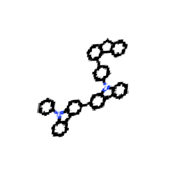 c1ccc(-n2c3ccccc3c3cc(-c4ccc5c6ccccc6n(-c6ccc(-c7cccc8c7-c7ccccc7C8)cc6)c5c4)ccc32)cc1